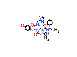 C[C@@H](NC(=O)N1C2CN(Cc3nccn3C)C(=O)[C@H](Cc3ccc(O)cc3)N2C(=O)CN1C)c1ccccc1